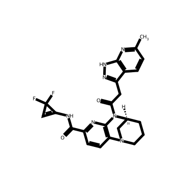 Cc1ccc2c(CC(=O)N3c4nc(C(=O)NC5=CC5(F)F)ccc4N4CCC[C@H]3C4)n[nH]c2n1